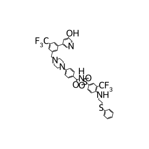 O=C(NS(=O)(=O)c1ccc(NCCSc2ccccc2)c(C(F)(F)F)c1)c1ccc(N2CCN(Cc3cc(-c4cncc(O)c4)cc(C(F)(F)F)c3)CC2)cc1